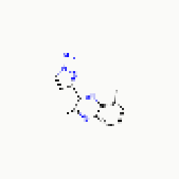 Cc1nc2cccc(C)c2nc1-c1ccn(N)n1